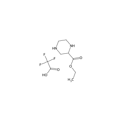 CCOC(=O)C1CNCCN1.O=C(O)C(F)(F)F